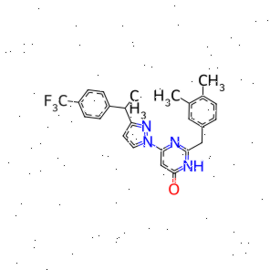 Cc1ccc(Cc2nc(-n3ccc(C(C)c4ccc(C(F)(F)F)cc4)n3)cc(=O)[nH]2)cc1C